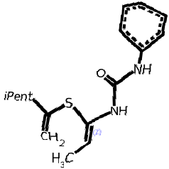 C=C(S/C(=C\C)NC(=O)Nc1ccccc1)C(C)CCC